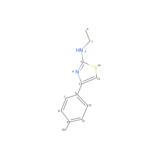 CCNc1nc(-c2ccc(C)cc2)cs1